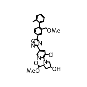 COCc1cc(-c2nc(-c3cnc(N4CC(O)CC4C(=O)OC)c(Cl)c3)no2)ccc1-c1ccccc1C